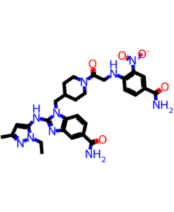 CCn1nc(C)cc1Nc1nc2cc(C(N)=O)ccc2n1CC1CCN(C(=O)CNc2ccc(C(N)=O)cc2[N+](=O)[O-])CC1